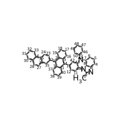 Cc1nc2cccc3c2n1-c1ccc(-c2c4ccccc4c(-c4ccc5c(ccc6ccccc65)c4)c4ccccc24)cc1N3c1ccccc1